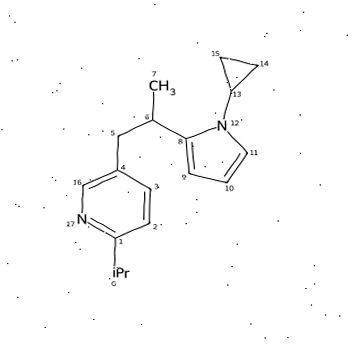 CC(C)c1ccc(CC(C)c2cccn2C2CC2)cn1